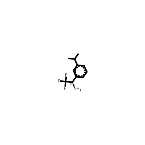 CC(C)c1cccc([C@@H](N)C(F)(F)F)c1